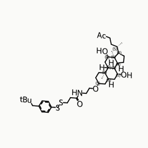 CC(=O)CC[C@H](C)[C@H]1CC[C@@H]2[C@@H]3[C@@H](C[C@@H](O)[C@]21C)[C@]1(C)CC[C@H](OCCNC(=O)CCSSc2ccc(CC(C)(C)C)cc2)C[C@@H]1C[C@@H]3O